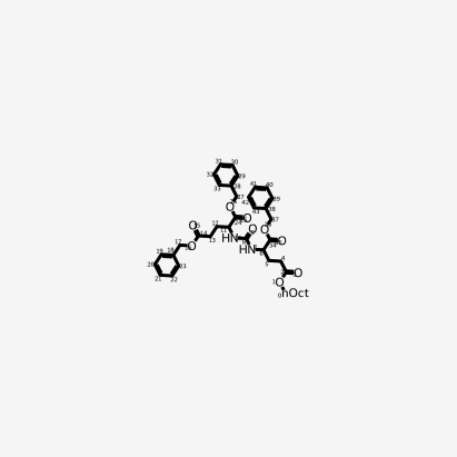 CCCCCCCCOC(=O)CCC(NC(=O)NC(CCC(=O)OCc1ccccc1)C(=O)OCc1ccccc1)C(=O)OCc1ccccc1